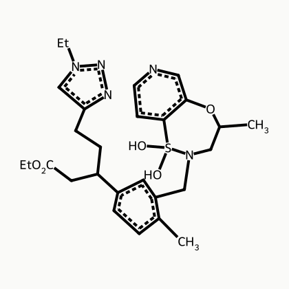 CCOC(=O)CC(CCc1cn(CC)nn1)c1ccc(C)c(CN2CC(C)Oc3cnccc3S2(O)O)c1